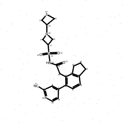 N#Cc1cc(-c2ccc3c(c2CC(=O)NS(=O)(=O)C2CN(C4CSC4)C2)CCC3)ccn1